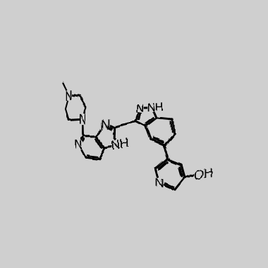 CN1CCN(c2nccc3[nH]c(-c4n[nH]c5ccc(-c6cncc(O)c6)cc45)nc23)CC1